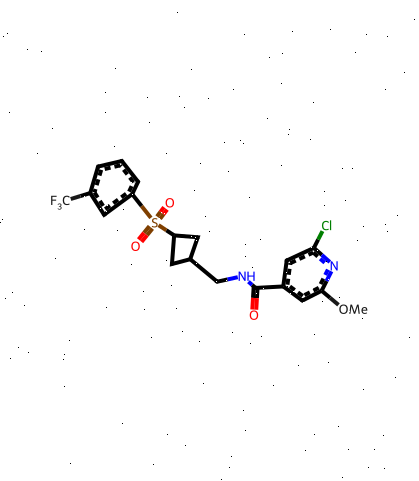 COc1cc(C(=O)NCC2CC(S(=O)(=O)c3cccc(C(F)(F)F)c3)C2)cc(Cl)n1